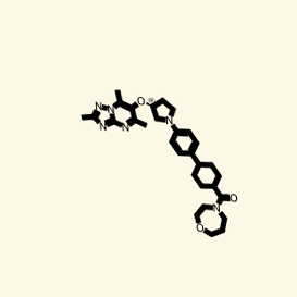 Cc1nc2nc(C)c(O[C@@H]3CCN(c4ccc(C5CCC(C(=O)N6CCCOCC6)CC5)cc4)C3)c(C)n2n1